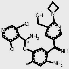 N=C(c1cnc(N2CCC2)c(CO)c1)c1cc(O[C@H](N)c2c(Cl)cncc2Cl)c(F)cc1N